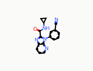 N#Cc1cccc(-n2c(C(=O)NC3CC3)nc3cccnc32)c1